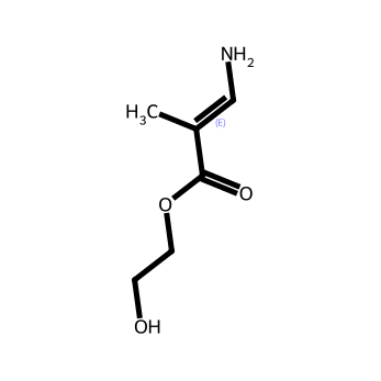 C/C(=C\N)C(=O)OCCO